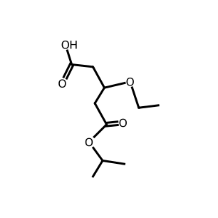 CCOC(CC(=O)O)CC(=O)OC(C)C